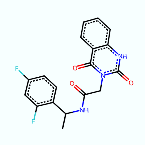 CC(NC(=O)Cn1c(=O)[nH]c2ccccc2c1=O)c1ccc(F)cc1F